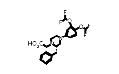 O=C(O)CN1CCN(c2ccc(OC(F)F)c(OC(F)F)c2)C[C@@H]1Cc1ccccc1